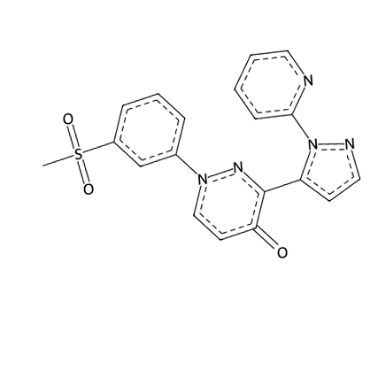 CS(=O)(=O)c1cccc(-n2ccc(=O)c(-c3ccnn3-c3ccccn3)n2)c1